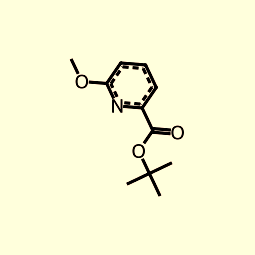 COc1cccc(C(=O)OC(C)(C)C)n1